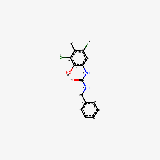 Cc1c(Cl)cc(NC(=O)NCc2ccccc2)c(O)c1Cl